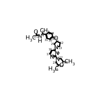 CC(=O)N[C@@H](C)c1ccc(O[C@@H]2CCN(c3ccnc(N4C[C@@H](C)O[C@@H](C)C4)n3)C2)cc1